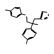 FC(CSc1ccc(Cl)cc1)(Cc1c[nH]nn1)c1ccc(Cl)cc1